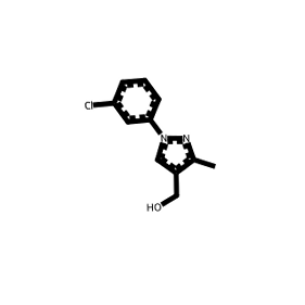 Cc1nn(-c2cccc(Cl)c2)cc1CO